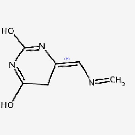 C=N/C=C1\CC(O)=NC(O)=N1